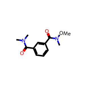 CON(C)C(=O)c1cccc(C(=O)N(C)C)c1